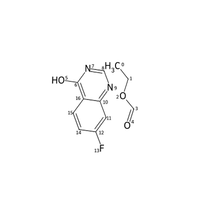 CCOC=O.Oc1ncnc2cc(F)ccc12